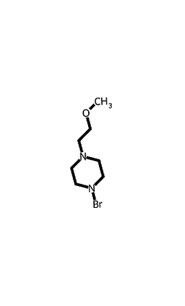 COCCN1CCN(Br)CC1